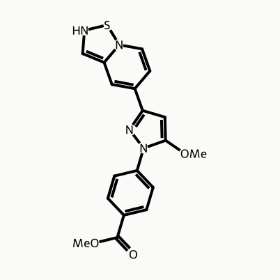 COC(=O)c1ccc(-n2nc(C3=CC4=CNSN4C=C3)cc2OC)cc1